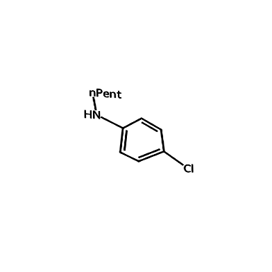 [CH2]CCCCNc1ccc(Cl)cc1